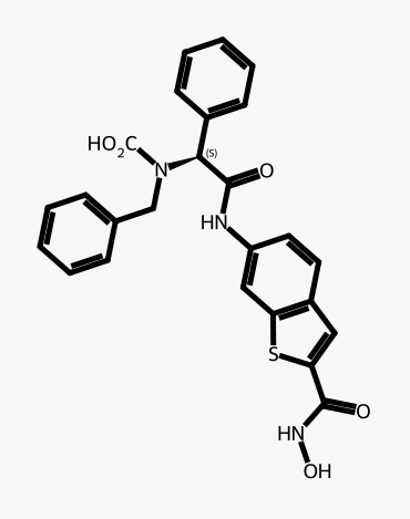 O=C(NO)c1cc2ccc(NC(=O)[C@H](c3ccccc3)N(Cc3ccccc3)C(=O)O)cc2s1